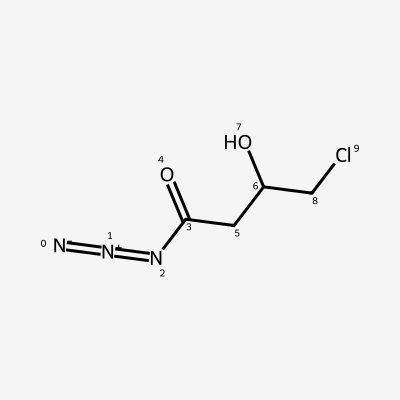 [N-]=[N+]=NC(=O)CC(O)CCl